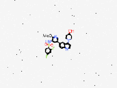 COc1ncc(-c2ccc3nccc(N4CCC(O)CC4)c3c2)cc1NS(=O)(=O)c1ccc(F)cc1F